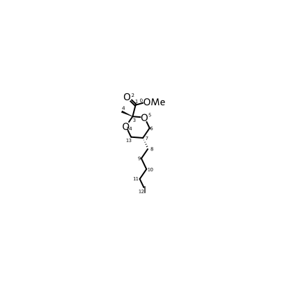 COC(=O)[C@]1(C)OC[C@H](CCCCI)CO1